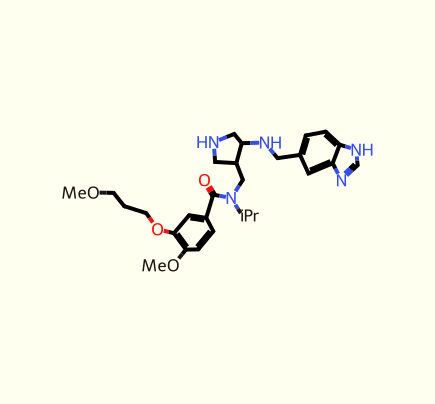 COCCCOc1cc(C(=O)N(CC2CNCC2NCc2ccc3[nH]cnc3c2)C(C)C)ccc1OC